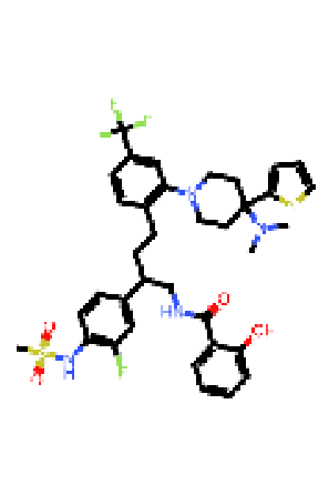 CN(C)C1(c2cccs2)CCN(c2cc(C(F)(F)F)ccc2CCC(CNC(=O)c2ccccc2O)c2ccc(NS(C)(=O)=O)c(F)c2)CC1